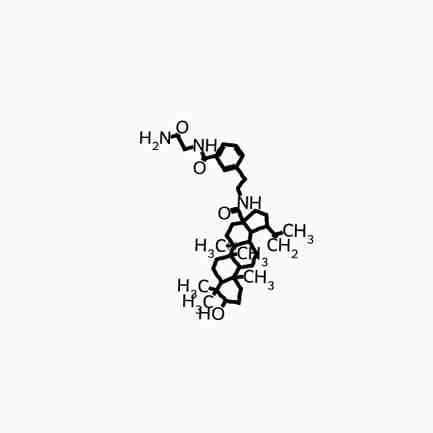 C=C(C)C1CCC2(C(=O)NCCc3cccc(C(=O)NCC(N)=O)c3)CC[C@]3(C)C(CCC4C5(C)CCC(O)C(C)(C)C5CCC43C)C12